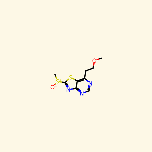 COCCc1ncnc2nc([S+](C)[O-])sc12